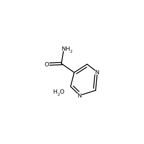 NC(=O)c1cncnc1.O